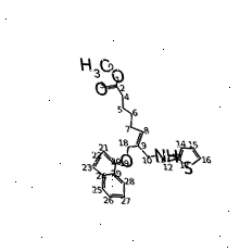 COC(=O)CCCC/C=C(/CNCc1cccs1)COc1cccc2ccccc12